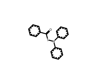 O=C(SN(c1ccccc1)c1ccccc1)c1ccccc1